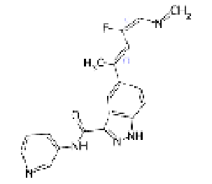 C=N/C=C(F)\C=C(/C)c1ccc2[nH]nc(C(=O)Nc3cccnc3)c2c1